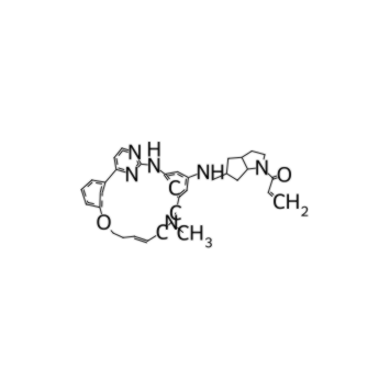 C=CC(=O)N1CCC2CC(CNc3cc4cc(c3)Nc3nccc(n3)-c3cccc(c3)OCC/C=C/CN(C)C4)CC21